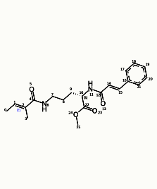 C/C=C(\C)C(=O)NCCC[C@H](NC(=O)C=Cc1ccccc1)C(=O)OC